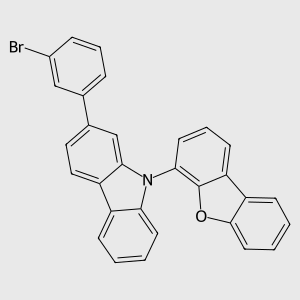 Brc1cccc(-c2ccc3c4ccccc4n(-c4cccc5c4oc4ccccc45)c3c2)c1